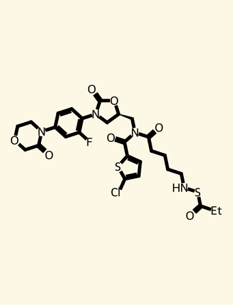 CCC(=O)SNCCCCC(=O)N(C[C@H]1CN(c2ccc(N3CCOCC3=O)cc2F)C(=O)O1)C(=O)c1ccc(Cl)s1